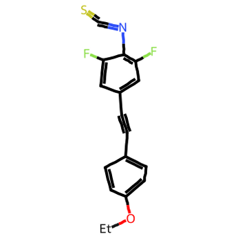 CCOc1ccc(C#Cc2cc(F)c(N=C=S)c(F)c2)cc1